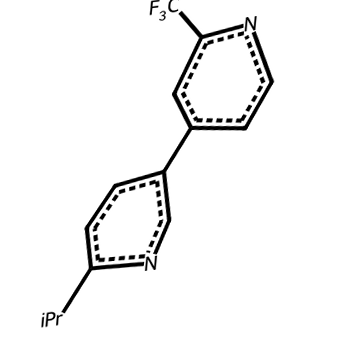 CC(C)c1ccc(-c2ccnc(C(F)(F)F)c2)cn1